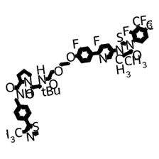 Cc1ncsc1-c1ccc(CNC(=O)C2CCCN2C(=O)C(NC(=O)COCCOc2ccc(-c3ncc(N4C(=S)N(c5ccc(C#N)c(C(F)(F)F)c5F)C(=O)C4(C)C)cc3F)cc2F)C(C)(C)C)cc1